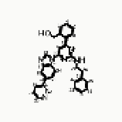 OCc1ccccc1-c1cc(-n2cnc3cc(-c4cccnn4)ccc32)nc(NCCc2ccccc2)n1